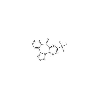 O=c1c2ccccc2c2nccn2c2ccc(C(F)(F)F)cc12